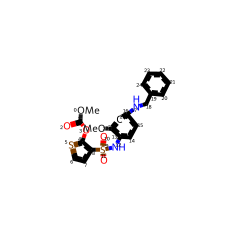 COC(=O)Oc1sccc1S(=O)(=O)Nc1ccc(NCc2ccccc2)cc1OC